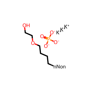 CCCCCCCCCCCCCOCCO.O=P([O-])([O-])[O-].[K+].[K+].[K+]